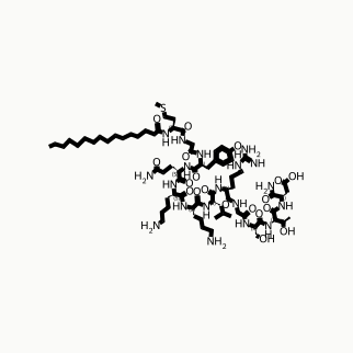 CCCCCCCCCCCCCCCC(=O)N[C@@H](CCSC)C(=O)NCC(=O)N[C@@H](Cc1ccc(O)cc1)C(=O)N[C@@H](CCC(N)=O)C(=O)N[C@@H](CCCCN)C(=O)N[C@@H](CCCCN)C(=O)N[C@@H](CC(C)C)C(=O)N[C@@H](CCCNC(=N)N)C(=O)NCC(=O)N[C@@H](CO)C(=O)N[C@H](C(=O)N[C@@H](CC(=O)O)C(N)=O)[C@@H](C)O